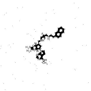 CNc1ncnc2c1ccn2[C@@H]1C[C@H](CNCC(F)(F)CNCCc2ccc3ccccc3c2)[C@H]2OC(C)(C)O[C@H]21